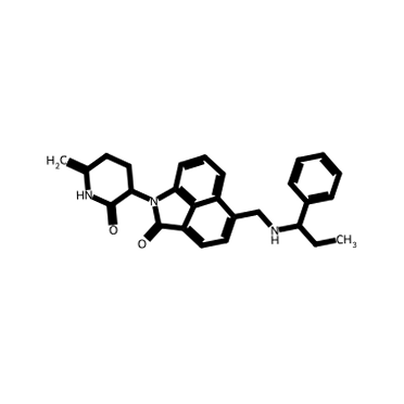 C=C1CCC(N2C(=O)c3ccc(CNC(CC)c4ccccc4)c4cccc2c34)C(=O)N1